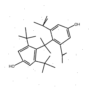 CC(C)(C)c1cc(O)cc(C(C)(C)C)c1C(C)(C)c1c(C(C)(C)C)cc(O)cc1C(C)(C)C